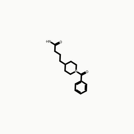 [NH]C(=O)CCCC1CCN(C(=O)c2ccccc2)CC1